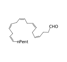 CCCCC/C=C\C/C=C\C/C=C\C/C=C\C/C=C\CCC=O